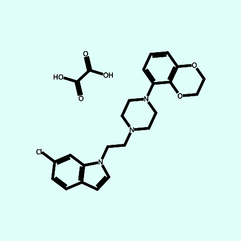 Clc1ccc2ccn(CCN3CCN(c4cccc5c4OCCO5)CC3)c2c1.O=C(O)C(=O)O